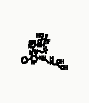 CC(C)(C)CCn1c(-c2nonc2N)nc2c(-c3ccccc3)ncc(NCCCNC[C@H](O)CO)c21.O=C(O)C(F)(F)F